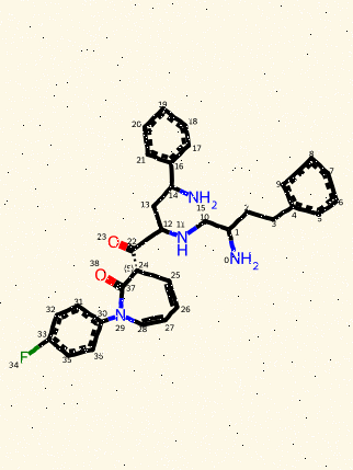 NC(CCc1ccccc1)CNC(CC(N)c1ccccc1)C(=O)[C@@H]1C=CC=CN(c2ccc(F)cc2)C1=O